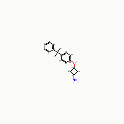 CC(C)(c1ccccc1)c1ccc(OC2CC(N)C2)cc1